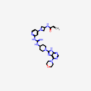 C=CC(=O)NC1CN(c2ccnc(NC(=N)NC3CCN(c4nc5c(N6CCOCC6)ncnc5[nH]4)CC3)c2)C1